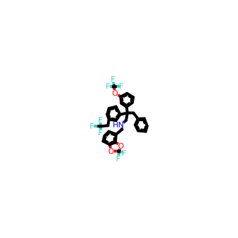 FC(F)(F)Cc1cccc(C(CNCc2cccc3c2OC(F)(F)O3)(Cc2ccccc2)c2cccc(OC(F)(F)F)c2)c1